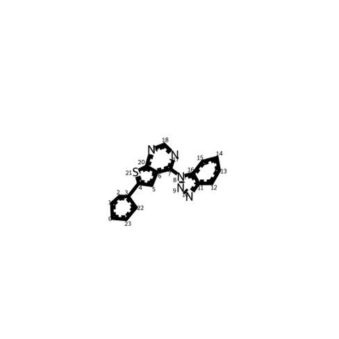 c1ccc(-c2cc3c(-n4nnc5ccccc54)ncnc3s2)cc1